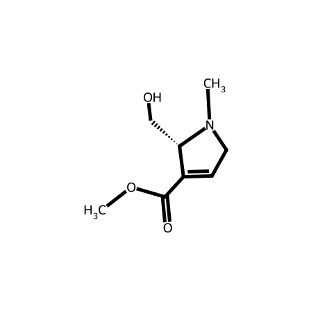 COC(=O)C1=CCN(C)[C@H]1CO